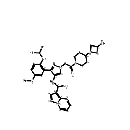 CC(C)Sc1ccc(OC(F)F)c(-c2nn(CC(=O)N3CCC(N4CC(C#N)C4)CC3)cc2NC(O)c2cnn3cccnc23)c1